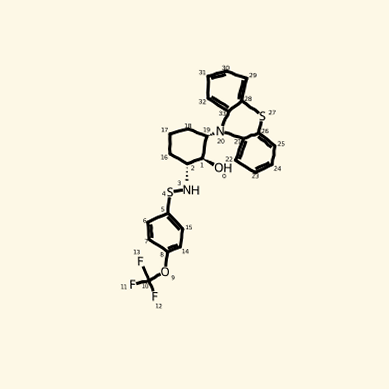 O[C@H]1[C@H](NSc2ccc(OC(F)(F)F)cc2)CCC[C@@H]1N1c2ccccc2Sc2ccccc21